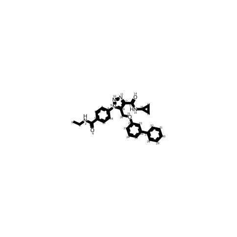 CCNC(=O)c1ccc(-n2nnc(C(=O)NC3CC3)c2COc2cccc(-c3ccccc3)c2)cc1